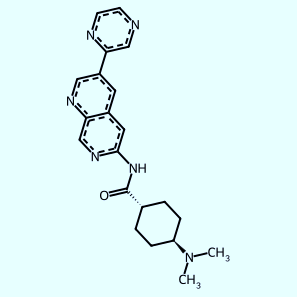 CN(C)[C@H]1CC[C@H](C(=O)Nc2cc3cc(-c4cnccn4)cnc3cn2)CC1